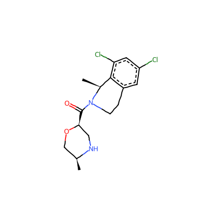 C[C@H]1CO[C@@H](C(=O)N2CCc3cc(Cl)cc(Cl)c3[C@@H]2C)CN1